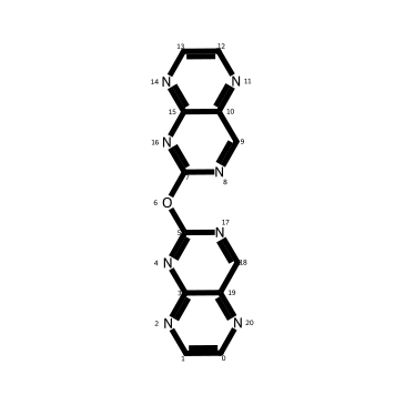 c1cnc2nc(Oc3ncc4nccnc4n3)ncc2n1